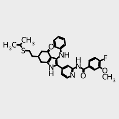 COc1cc(C(=O)Nc2cc(-c3[nH]c4c(c3Nc3ccccc3)C(=O)CC(CCSC(C)C)C4)ccn2)ccc1F